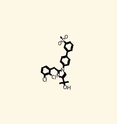 CC(C)(O)c1cn(-c2ccc(-c3cccc(S(C)(=O)=O)c3)cc2)c(Cc2cccc(Cl)c2Cl)n1